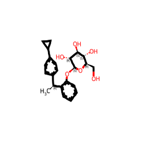 C[C@H](c1ccc(C2CC2)cc1)c1ccccc1O[C@@H]1O[C@H](CO)[C@@H](O)[C@H](O)[C@H]1O